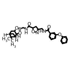 CC1(C)[C@@H]2CC3OB(CNC(=O)C4CC(CNC(=O)c5cccc(Oc6ccccc6)c5)=NO4)O[C@H]3[C@H]1C2